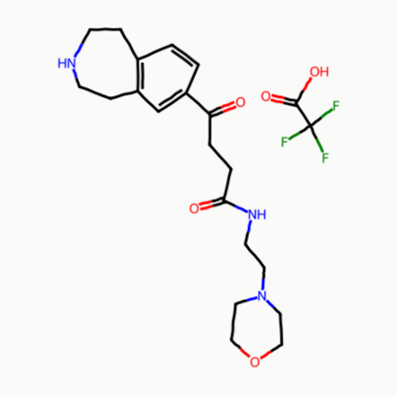 O=C(CCC(=O)c1ccc2c(c1)CCNCC2)NCCN1CCOCC1.O=C(O)C(F)(F)F